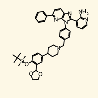 CC(C)(C)[Si](C)(C)Oc1ccc(C2CCN(Cc3ccc(-n4c(-c5cccnc5N)nc5ccc(-c6ccccc6)nc54)cc3)CC2)cc1C1OCCO1